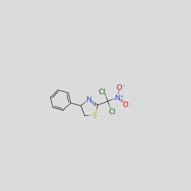 O=[N+]([O-])C(Cl)(Cl)C1=NC(c2ccccc2)CS1